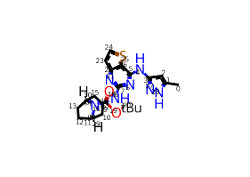 Cc1cc(Nc2nc(N[C@@H]3C[C@H]4CC[C@@H](C3)N4C(=O)OC(C)(C)C)nc3ccsc23)n[nH]1